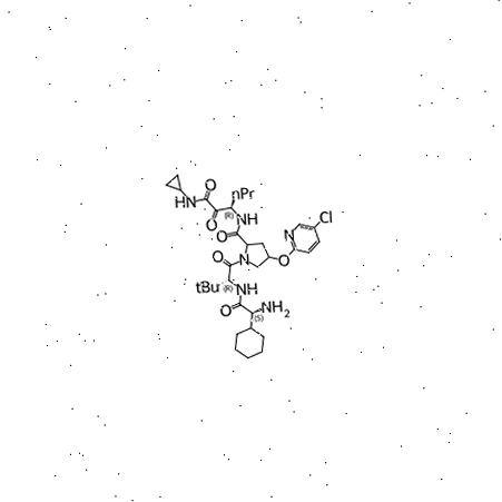 CCC[C@@H](NC(=O)C1CC(Oc2ccc(Cl)cn2)CN1C(=O)[C@H](NC(=O)[C@@H](N)C1CCCCC1)C(C)(C)C)C(=O)C(=O)NC1CC1